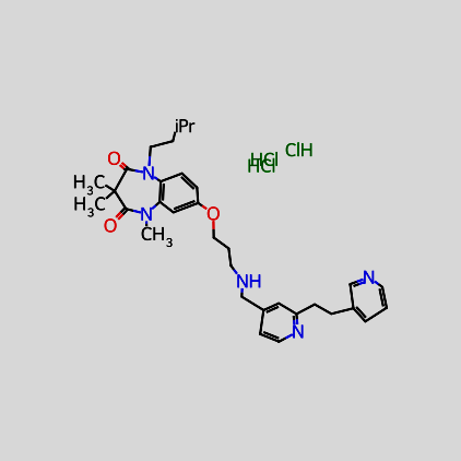 CC(C)CCN1C(=O)C(C)(C)C(=O)N(C)c2cc(OCCCNCc3ccnc(CCc4cccnc4)c3)ccc21.Cl.Cl.Cl